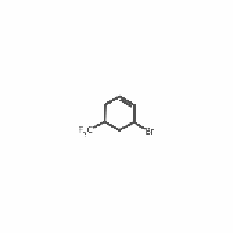 FC(F)(F)C1CC=CC(Br)C1